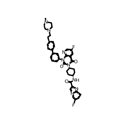 CN1CCN(CCc2ccc(-c3cccc(-n4c(=O)n([C@H]5CC[C@@H](NC(=O)c6cn7cc(F)ccc7n6)CC5)c(=O)c5cc(F)cnc54)c3)cc2)CC1